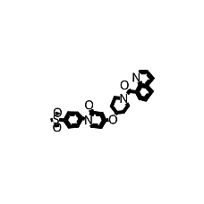 CS(=O)(=O)c1ccc(-n2ccc(OC3CCN(C(=O)c4cccc5cccnc45)CC3)cc2=O)cc1